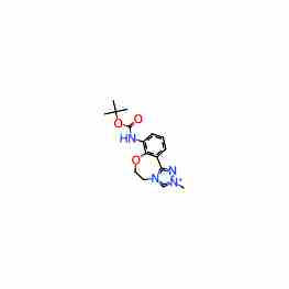 C[n+]1cn2c(n1)-c1cccc(NC(=O)OC(C)(C)C)c1OCC2